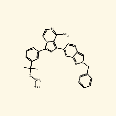 CC(C)(C)[SiH2]OC(C)(C)c1cccc(-c2cc(-c3ccc4cn(Cc5ccccc5)nc4c3)c3c(N)ncnn23)c1